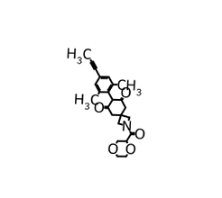 CC#Cc1cc(C)c(C2C(=O)CC3(CC2=O)CN(C(=O)C2COCCO2)C3)c(C)c1